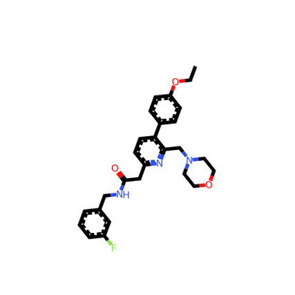 CCOc1ccc(-c2ccc(CC(=O)NCc3cccc(F)c3)nc2CN2CCOCC2)cc1